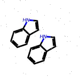 [c]1c[nH]c2ccccc12.[c]1c[nH]c2ccccc12